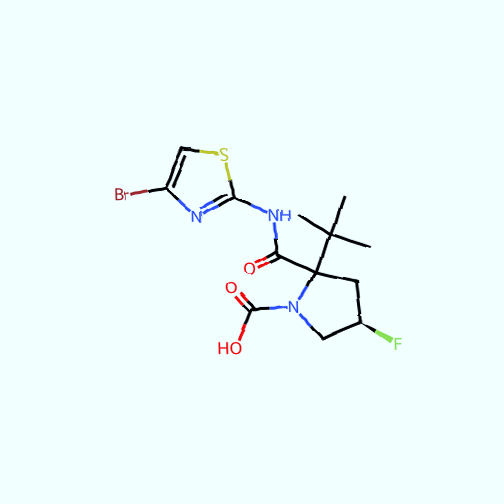 CC(C)(C)C1(C(=O)Nc2nc(Br)cs2)C[C@@H](F)CN1C(=O)O